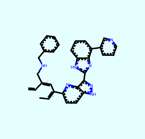 C=C/C(=C\C(=C/C)c1ccc2[nH]nc(-c3nc4c(-c5cccnc5)cccc4[nH]3)c2n1)CNCc1ccccc1